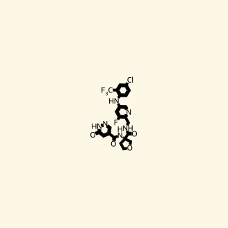 O=C(N[C@@]1(C(=O)NCc2ncc(Nc3ccc(Cl)cc3C(F)(F)F)cc2F)CCOC1)c1cn[nH]c(=O)c1